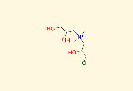 C[N+](C)(CC(O)CO)CC(O)CCl